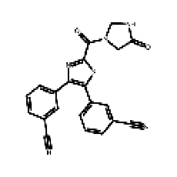 N#Cc1cccc(-c2nc(C(=O)N3CNC(=O)C3)sc2-c2cccc(C#N)c2)c1